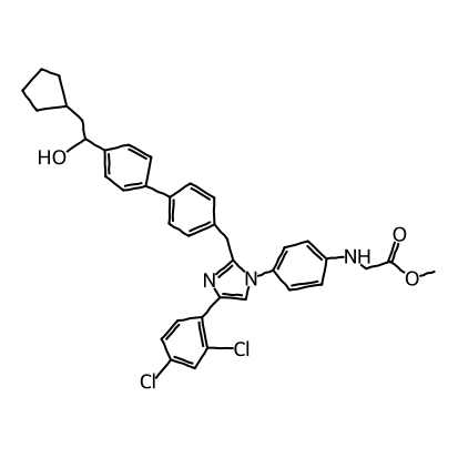 COC(=O)CNc1ccc(-n2cc(-c3ccc(Cl)cc3Cl)nc2Cc2ccc(-c3ccc(C(O)CC4CCCC4)cc3)cc2)cc1